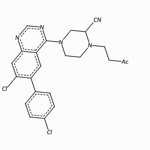 CC(=O)CCN1CCN(c2ncnc3cc(Cl)c(-c4ccc(Cl)cc4)cc23)CC1C#N